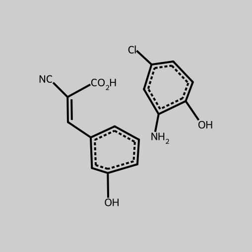 N#CC(=Cc1cccc(O)c1)C(=O)O.Nc1cc(Cl)ccc1O